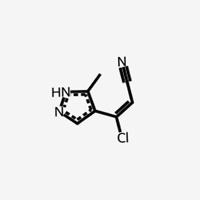 Cc1[nH]ncc1/C(Cl)=C\C#N